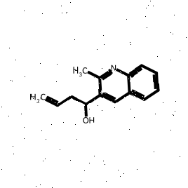 C=CCC(O)c1cc2ccccc2nc1C